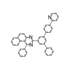 c1ccc(-c2cc(-c3ccc(-c4ccccn4)cc3)cc(-c3nc(-c4ccccc4)c4c(ccc5ccccc54)n3)c2)cc1